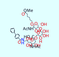 COC(=O)CCCCCO[C@@H]1O[C@H](CO)[C@@H](O[C@@H]2O[C@H](CO[C@]3(C(=O)O)C[C@H](O)[C@@H](NC(C)=O)[C@H]([C@H](O)[C@H](O)CNC(=O)c4ccc(-c5ccccc5)cc4)O3)[C@H](O)[C@H](O)[C@H]2O)[C@H](O)[C@H]1NC(C)=O